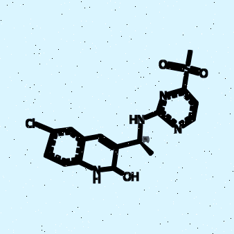 C[C@H](Nc1nccc(S(C)(=O)=O)n1)C1=Cc2cc(Cl)ccc2NC1O